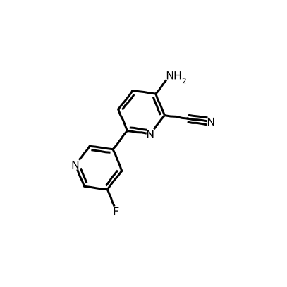 N#Cc1nc(-c2cncc(F)c2)ccc1N